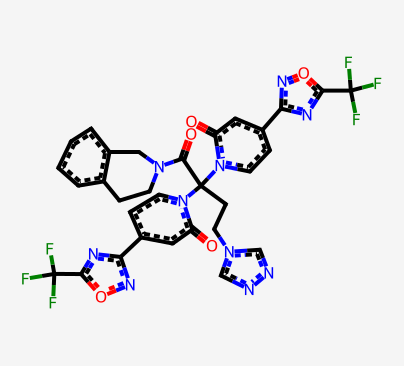 O=C(N1CCc2ccccc2C1)C(CCn1cnnc1)(n1ccc(-c2noc(C(F)(F)F)n2)cc1=O)n1ccc(-c2noc(C(F)(F)F)n2)cc1=O